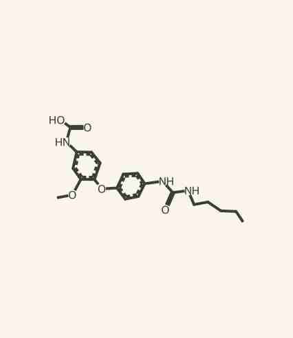 CCCCCNC(=O)Nc1ccc(Oc2ccc(NC(=O)O)cc2OC)cc1